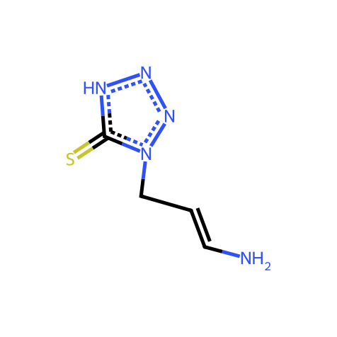 NC=CCn1nn[nH]c1=S